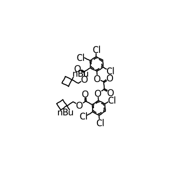 CCCCC1(COC(=O)c2c(Cl)c(Cl)cc(Cl)c2OC(=O)C(=O)Oc2c(Cl)cc(Cl)c(Cl)c2C(=O)OCC2(CCCC)CCC2)CCC1